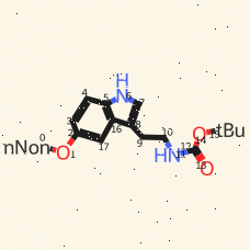 CCCCCCCCCOc1ccc2[nH]cc(CCNC(=O)OC(C)(C)C)c2c1